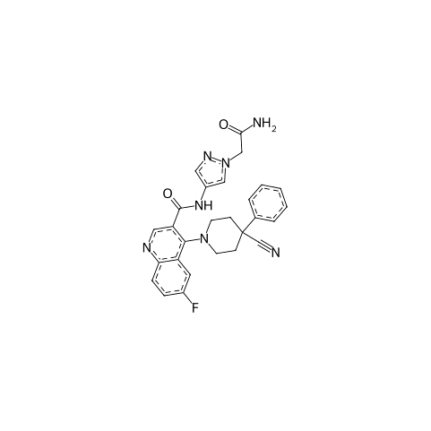 N#CC1(c2ccccc2)CCN(c2c(C(=O)Nc3cnn(CC(N)=O)c3)cnc3ccc(F)cc23)CC1